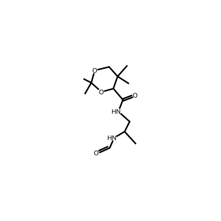 CC(CNC(=O)C1OC(C)(C)OCC1(C)C)NC=O